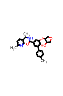 Cc1ccc(-c2cc(OC3COCC3O)cc(C(=O)N[C@H](C)c3ccc(C)nc3)c2)cc1